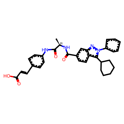 C[C@@H](NC(=O)c1ccc2c(C3CCCCC3)n(-c3ccccc3)nc2c1)C(=O)Nc1ccc(C=CC(=O)O)cc1